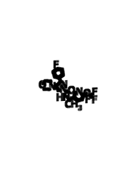 C[C@@H](NC(=O)N1C[C@H](N2CCOCC2)C(c2ccc(F)cc2)=N1)c1ccc(OC(F)(F)F)nc1